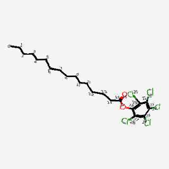 CCCCCCCCCCCCCCCC(=O)Oc1c(Cl)c(Cl)c(Cl)c(Cl)c1Cl